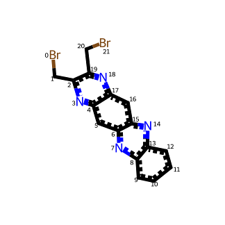 BrCc1nc2cc3nc4ccccc4nc3cc2nc1CBr